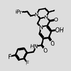 CC(C)CCN1CCC(C)N2C(=O)c3c(O)c(=O)c(C(=O)NCc4ccc(F)cc4F)cn3CC12